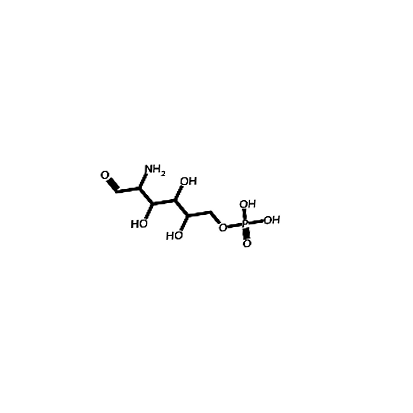 NC(C=O)C(O)C(O)C(O)COP(=O)(O)O